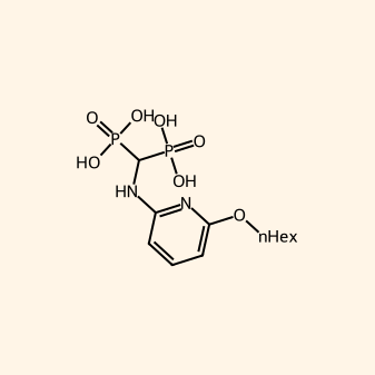 CCCCCCOc1cccc(NC(P(=O)(O)O)P(=O)(O)O)n1